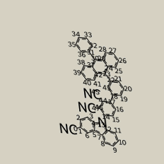 N#Cc1ccc2c(c1)c1ccccc1n2-c1ccc(-c2cccc(-c3c4ccccc4c(-c4ccccc4)c4ccccc34)c2)c(C#N)c1C#N